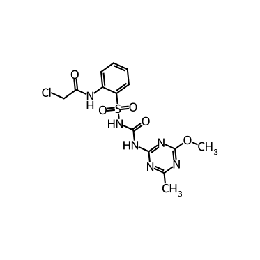 COc1nc(C)nc(NC(=O)NS(=O)(=O)c2ccccc2NC(=O)CCl)n1